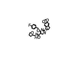 O=C(NCC1CCCO1)c1cnc(N2CCc3cc4c(cc32)OCO4)nc1OCc1ccc(F)cc1